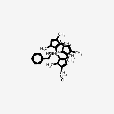 CC1=CC(C)[C]([Hf+2](=[SiH]Cc2ccccc2)([C]2=C(C)C(C)=CC2C)[C]2=C(C)C=C(C)C2C)=C1C.[Cl-].[Cl-]